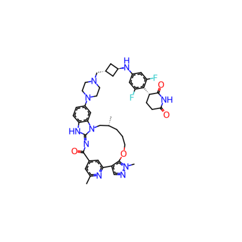 Cc1cc2cc(n1)-c1cnn(C)c1OCCC[C@@H](C)CN1/C(=N/C2=O)Nc2ccc(N3CCN(C[C@H]4C[C@H](Nc5cc(F)c([C@H]6CCC(=O)NC6=O)c(F)c5)C4)CC3)cc21